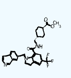 COC(=O)[C@H]1CC[C@H](CNC(=O)c2cc(C(F)(F)F)cc3ccn(Cc4ccc5ccncc5c4)c23)CC1